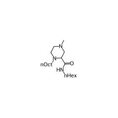 CCCCCCCCN1CCN(C)CC1C(=O)NCCCCCC